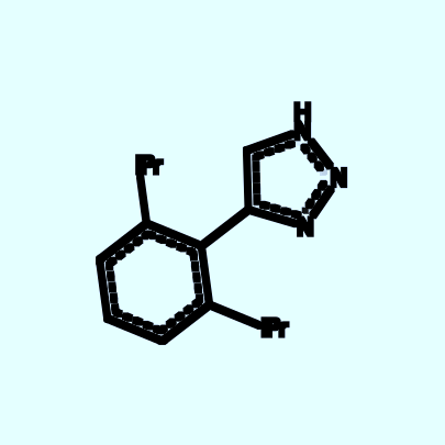 CC(C)c1cccc(C(C)C)c1-c1c[nH]nn1